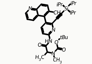 Cc1ccc2ncccc2c1-c1ccc(NC(=O)C(C)N(C)C(=O)OC(C)(C)C)nc1C#C[Si](C(C)C)(C(C)C)C(C)C